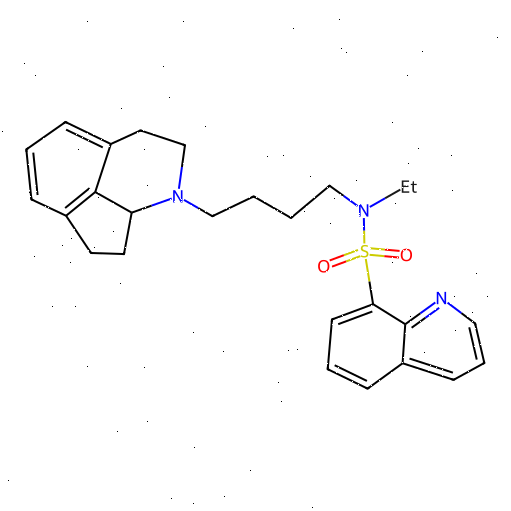 CCN(CCCCN1CCc2cccc3c2C1CC3)S(=O)(=O)c1cccc2cccnc12